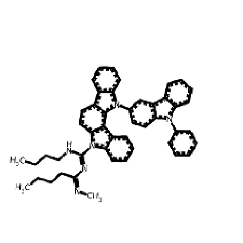 CCCCN/C(=N\C(CCCC)=N/C)n1c2ccccc2c2c1ccc1c3ccccc3n(-c3ccc4c(c3)c3ccccc3n4-c3ccccc3)c12